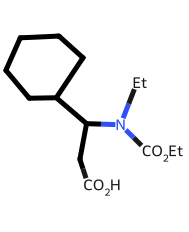 CCOC(=O)N(CC)C(CC(=O)O)C1CCCCC1